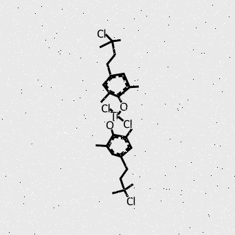 Cc1cc(CCC(C)(C)Cl)cc(C)c1[O][Ti]([Cl])([Cl])[O]c1c(C)cc(CCC(C)(C)Cl)cc1C